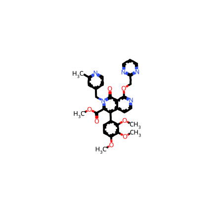 COC(=O)c1c(-c2ccc(OC)c(OC)c2OC)c2ccnc(OCc3ncccn3)c2c(=O)n1Cc1ccnc(C)c1